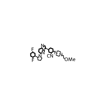 COCCN1CCN(c2ccc(-c3cnc4ccc(N5CCCC5c5cc(F)ccc5F)nn34)cc2C#N)CC1